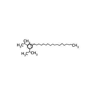 CCCCCCCCCCCCCCCCCC[n+]1cc(C(C)C)cc(C(C)C)c1